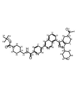 CC(=O)N1CCc2c(c(-c3cccc4cc(-c5ccc(C(=O)NCC6CCN(C(=O)OC(C)(C)C)CC6)nc5)ncc34)nn2C2CCOCC2)C1